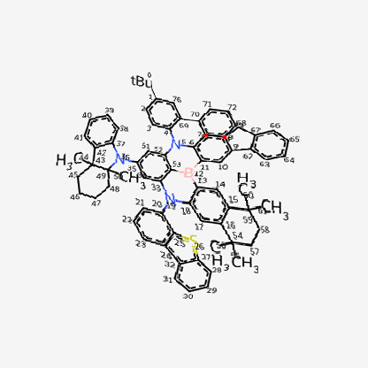 CC(C)(C)c1ccc(N2c3cc4c(cc3B3c5cc6c(cc5N(c5cccc7c5sc5ccccc57)c5cc(N7c8ccccc8C8(C)CCCCC78C)cc2c53)C(C)(C)CCC6(C)C)-c2ccccc2C4)c(-c2ccccc2)c1